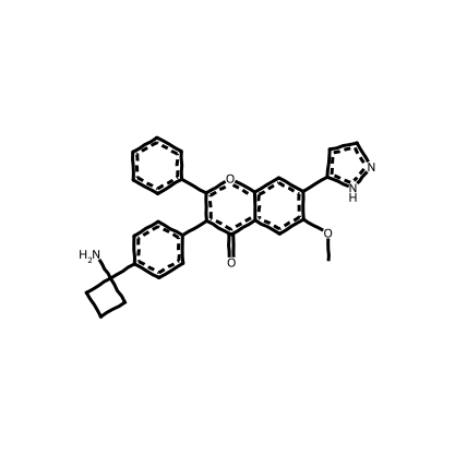 COc1cc2c(=O)c(-c3ccc(C4(N)CCC4)cc3)c(-c3ccccc3)oc2cc1-c1ccn[nH]1